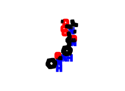 COC(=O)[C@H](C(C)C)N(C)C(=O)c1cc(-c2ccc(NC(=O)NC3CCCCC3)cc2)no1